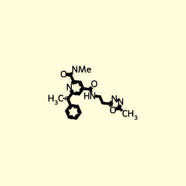 CNC(=O)c1cc(C(=O)NCCc2nnc(C)o2)cc([C@@H](C)c2ccccc2)n1